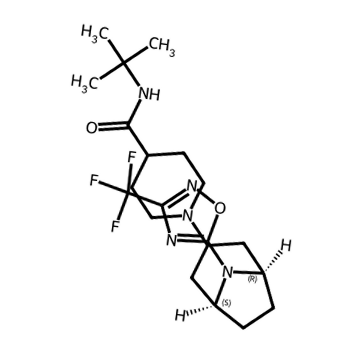 CC(C)(C)NC(=O)C1CCN(C2C[C@H]3CC[C@@H](C2)N3c2nc(C(F)(F)F)no2)CC1